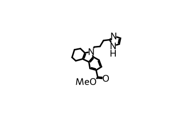 COC(=O)c1ccc2c(c1)c1c(n2CCCc2ncc[nH]2)CCCC1